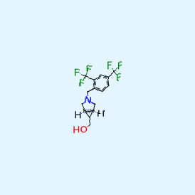 OCC1[C@H]2CN(Cc3ccc(C(F)(F)F)cc3C(F)(F)F)C[C@@H]12